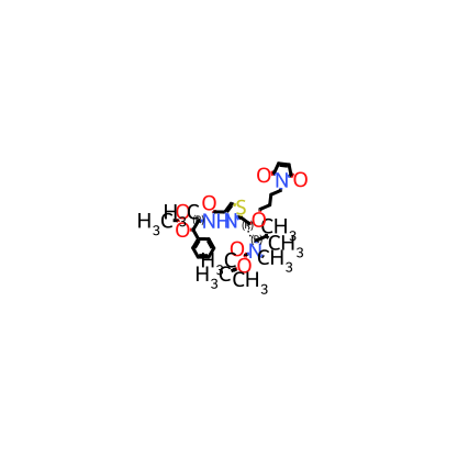 CC(=O)OC(c1ccccc1)[C@@H](C)NC(=O)c1csc([C@@H](C[C@H](C(C)C)N(C)C(=O)OC(C)(C)C)OCCCCN2C(=O)C=CC2=O)n1